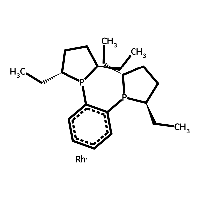 CC[C@@H]1CC[C@@H](CC)P1c1ccccc1P1[C@H](CC)CC[C@H]1CC.[Rh]